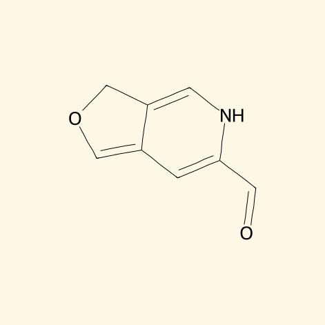 O=CC1=CC2=COCC2=CN1